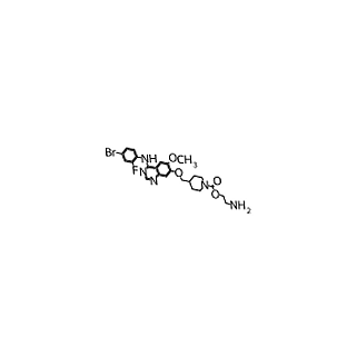 COc1cc2c(Nc3ccc(Br)cc3F)ncnc2cc1OCC1CCN(C(=O)OCCN)CC1